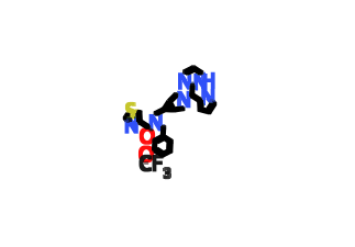 O=C(c1cscn1)N(Cc1cccc(OC(F)(F)F)c1)CC1C2CN(C(c3ncccn3)c3ccc[nH]3)CC12